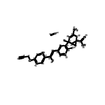 C#CCOc1cnc(/C(F)=C/c2cnc(F)c(C3(C)N=C(N)SC4(C(=O)O)CC43)c2)cn1.C=O